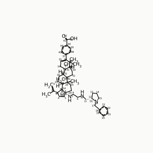 C=C(C)[C@@H]1CC[C@]2(NCCNC[C@@H]3CCCN3Cc3ccccc3)CC[C@]3(C)[C@H](CC[C@@H]4[C@@]5(C)CC=C(c6ccc(C(=O)O)cc6)C(C)(C)[C@@H]5CC[C@]43C)[C@@H]12